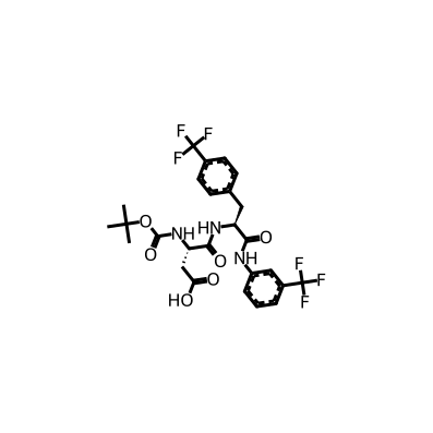 CC(C)(C)OC(=O)N[C@@H](CC(=O)O)C(=O)N[C@@H](Cc1ccc(C(F)(F)F)cc1)C(=O)Nc1cccc(C(F)(F)F)c1